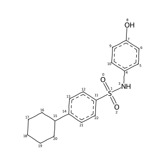 O=S(=O)(Nc1ccc(O)cc1)c1ccc(C2CCCCC2)cc1